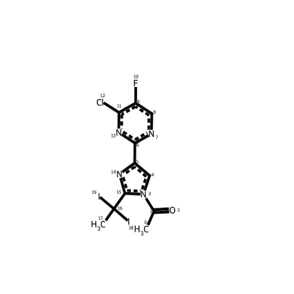 CC(=O)n1cc(-c2ncc(F)c(Cl)n2)nc1C(C)(I)I